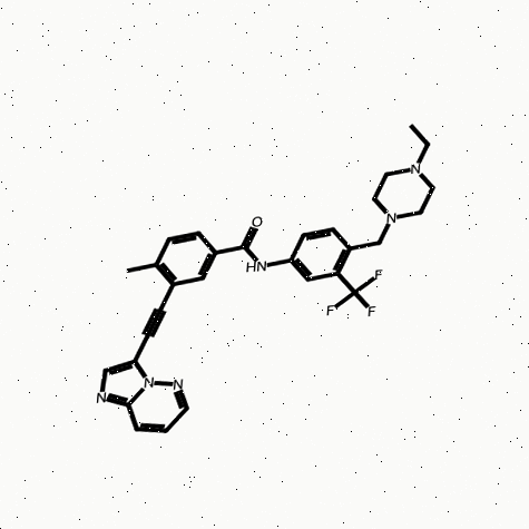 CCN1CCN(Cc2ccc(NC(=O)c3ccc(C)c(C#Cc4cnc5cccnn45)c3)cc2C(F)(F)F)CC1